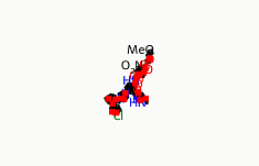 COCCOCCS(=O)(=O)c1ccc(S(=O)(=O)NC(=O)c2ccc(N3CCN(CC4=C(c5ccc(Cl)cc5)CC(C)(C)CC4)CC3)cc2Oc2cnc3[nH]ccc3c2)cc1[N+](=O)[O-]